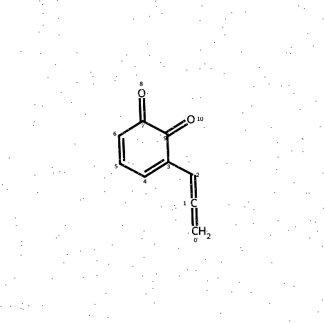 C=C=CC1=CC=CC(=O)C1=O